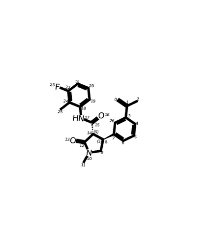 C=C(C)c1cccc([C@H]2CN(C)C(=O)[C@@H]2C(=O)Nc2cccc(F)c2C)c1